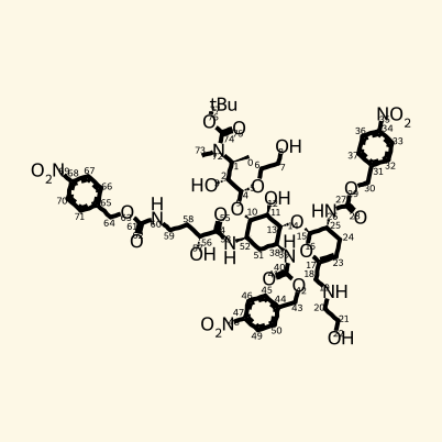 C[C@@H]([C@@H](O)[C@H](OCCO)O[C@@H]1[C@@H](O)[C@H](O[C@H]2OC(CNCCO)=CC[C@H]2NC(=O)OCc2ccc([N+](=O)[O-])cc2)[C@@H](NC(=O)OCc2ccc([N+](=O)[O-])cc2)C[C@H]1NC(=O)[C@H](O)CCNC(=O)OCc1ccc([N+](=O)[O-])cc1)N(C)C(=O)OC(C)(C)C